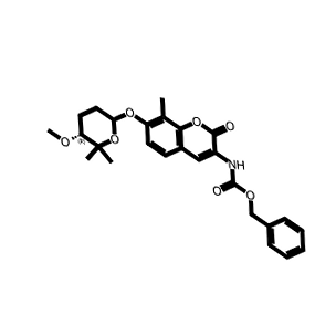 CO[C@@H]1CCC(Oc2ccc3cc(NC(=O)OCc4ccccc4)c(=O)oc3c2C)OC1(C)C